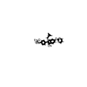 CCS(=O)(=O)Nc1ccc(-c2c(C#N)c3ccc(Oc4ncccn4)cc3n2CC2CC2)cc1